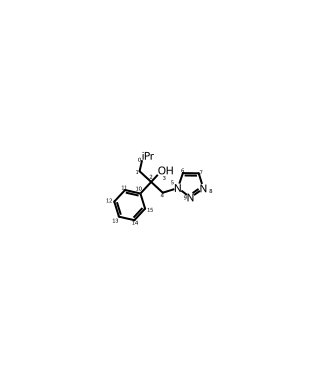 CC(C)CC(O)(Cn1ccnn1)c1ccccc1